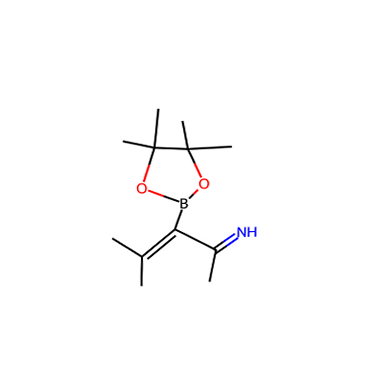 CC(=N)C(B1OC(C)(C)C(C)(C)O1)=C(C)C